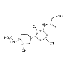 CC(C)(C)OC(=O)Nc1cc(C#N)cc(N2CC[C@@H](NC(=O)O)[C@@H](O)C2)c1Cl